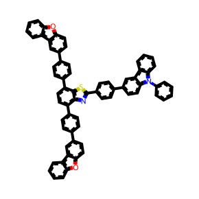 c1ccc(-n2c3ccccc3c3cc(-c4ccc(-c5nc6c(-c7ccc(-c8ccc9oc%10ccccc%10c9c8)cc7)ccc(-c7ccc(-c8ccc9oc%10ccccc%10c9c8)cc7)c6s5)cc4)ccc32)cc1